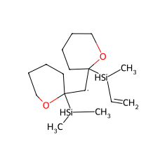 C=C[SiH](C)C1([CH]C2([SiH](C)C)CCCCO2)CCCCO1